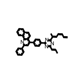 C=C/C=C\C=C(/C)c1nc(/C=C/C)nc(-c2ccc(-c3cc(-c4ccccc4)nc4c3ccc3ccccc34)cc2)n1